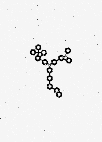 C1=CC2=C(CC1)C(c1ccccc1)(c1ccccc1)c1cccc(-c3ccc(N(c4ccc(-c5ccc(-c6cccc(-c7ccc8ccccc8c7)c6)cc5)cc4)c4ccc(-c5ccc6c(c5)c5ccccc5n6-c5ccccc5)cc4)cc3)c12